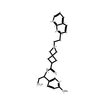 COc1ccc(C(CC(=O)O)NC(=O)C2CC3(C2)CN(CCc2ccc4cccnc4n2)C3)cn1